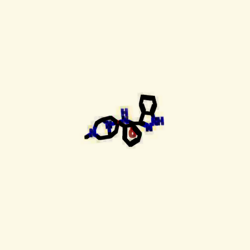 CN1CC2CC(NC(=O)c3n[nH]c4ccccc34)CC(C1)N2Cc1ccccc1